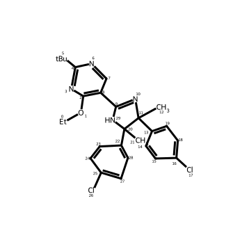 CCOc1nc(C(C)(C)C)ncc1C1=NC(C)(c2ccc(Cl)cc2)C(C)(c2ccc(Cl)cc2)N1